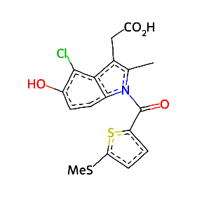 CSc1ccc(C(=O)n2c(C)c(CC(=O)O)c3c(Cl)c(O)ccc32)s1